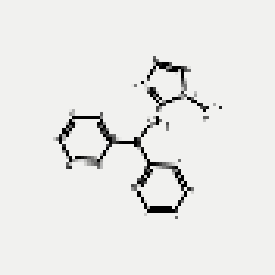 CB(c1ccccc1)c1ccccc1.CCCn1ccnc1